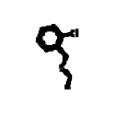 [CH2]CSCc1ccccc1Cl